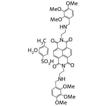 COc1ccc(CNCCN2C(=O)c3ccc4c5c(ccc(c35)C2=O)C(=O)N(CCNCc2ccc(OC)c(OC)c2OC)C4=O)c(OC)c1OC.Cc1ccc(S(=O)(=O)O)cc1.O